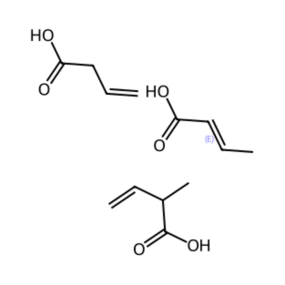 C/C=C/C(=O)O.C=CC(C)C(=O)O.C=CCC(=O)O